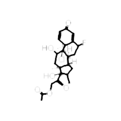 CC(=O)OCC(=O)[C@@]1(O)C(C)C[C@H]2[C@@H]3CC(F)C4=CC(=O)C=C[C@]4(C)[C@@]3(Cl)C(O)C[C@@]21C